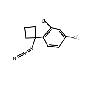 [N-]=[N+]=NC1(c2ccc(C(F)(F)F)cc2Cl)CCC1